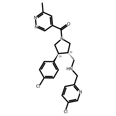 Cc1cc(C(=O)N2C[C@H](CNCc3ccc(Cl)cn3)[C@@H](c3ccc(Cl)cc3)C2)cnn1